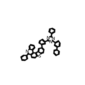 c1ccc(-c2cccc(-c3nc(-c4ccccc4)nc(-c4cccc(-c5ccc6sc7ccc8c(-c9ccccc9)nc9ccccc9c8c7c6c5)c4)n3)c2)cc1